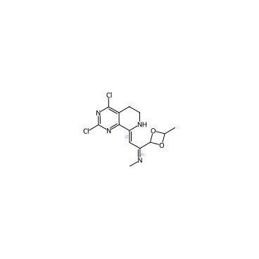 C/N=C(\C=C1/NCCc2c(Cl)nc(Cl)nc21)C1OC(C)O1